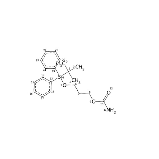 CC(C)(C)[Si](OCCCOC(N)=O)(c1ccccc1)c1ccccc1